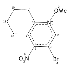 CO[n+]1cc(Br)c([N+](=O)[O-])c2c1CCCC2